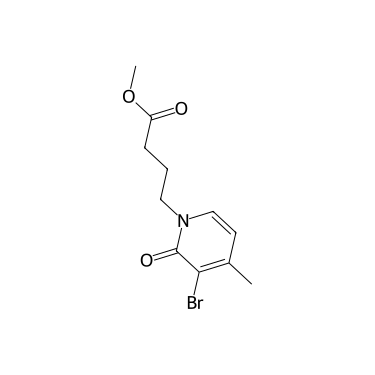 COC(=O)CCCn1ccc(C)c(Br)c1=O